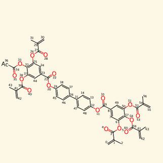 C=C(C)C(=O)Oc1cc(C(=O)Oc2ccc(-c3ccc(OC(=O)c4cc(OC(=O)C(=C)C)c(OC(=O)C(C)=O)c(OC(=O)C(=C)C)c4)cc3)cc2)cc(OC(=O)C(=C)C)c1OC(=O)C(=C)C